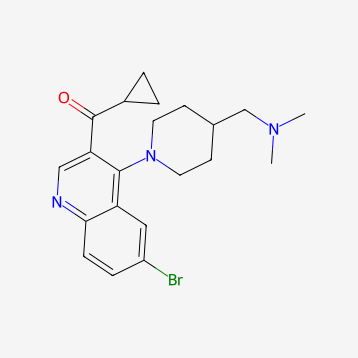 CN(C)CC1CCN(c2c(C(=O)C3CC3)cnc3ccc(Br)cc23)CC1